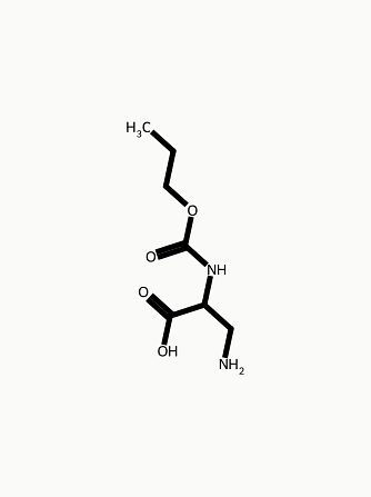 CCCOC(=O)NC(CN)C(=O)O